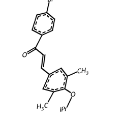 Cc1cc(C=CC(=O)c2ccc(Br)cc2)cc(C)c1OC(C)C